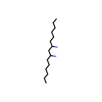 CCCCCCC(I)CC(I)CCCCCC